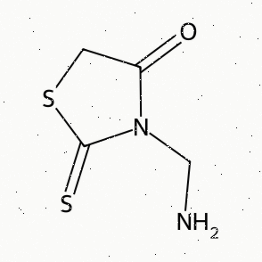 NCN1C(=O)CSC1=S